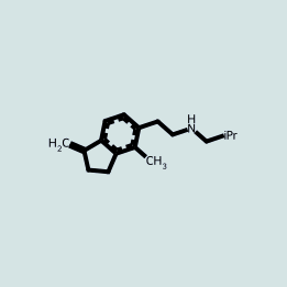 C=C1CCc2c1ccc(CCNCC(C)C)c2C